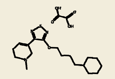 CN1CCC=C(c2nsnc2OCCCCC2CCCCC2)C1.O=C(O)C(=O)O